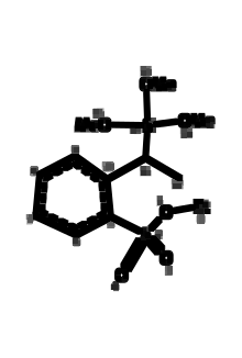 CCOS(=O)(=O)c1ccccc1C(C)[Si](OC)(OC)OC